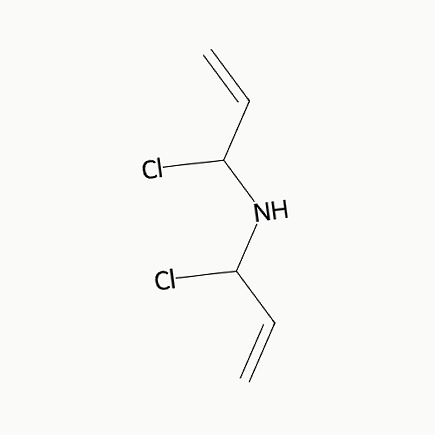 C=CC(Cl)NC(Cl)C=C